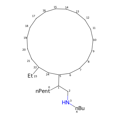 CCCCCC(CNCCCC)C1CCCCCCCCCCCCCCCCC(CC)C1